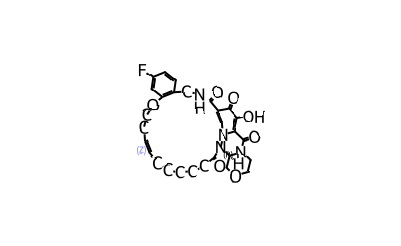 O=C1NCc2ccc(F)cc2OCC/C=C\CCCCCC(=O)N2[C@@H]3COCCN3C(=O)c3c(O)c(=O)c1cn32